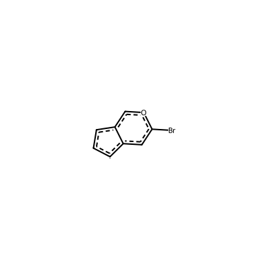 Brc1cc2[c]ccc-2co1